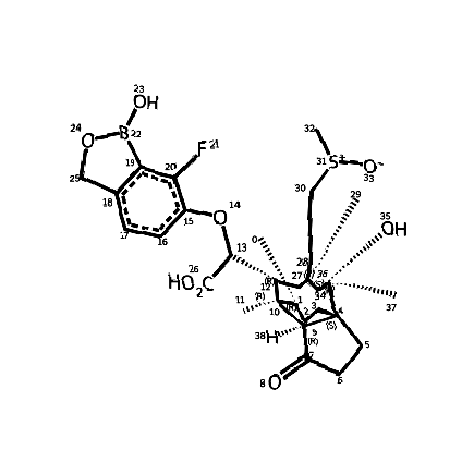 C[C@@H]1CC[C@@]23CCC(=O)[C@H]2[C@@]1(C)[C@H](C(Oc1ccc2c(c1F)B(O)OC2)C(=O)O)C[C@@](C)(C[S+](C)[O-])[C@@H](O)[C@@H]3C